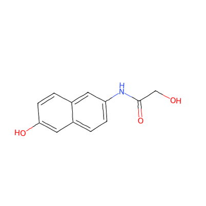 O=C(CO)Nc1ccc2cc(O)ccc2c1